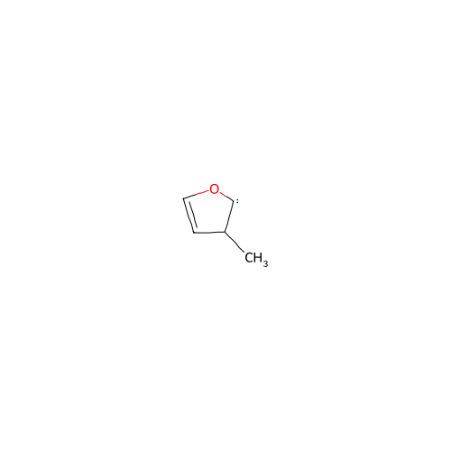 CC1[C]OC=C1